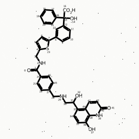 O=C(NCc1ccc(-c2cccc(C(O)(C(=O)O)c3ccccc3)c2)s1)c1ccc(CNCC(O)c2ccc(O)c3[nH]c(=O)ccc23)cc1